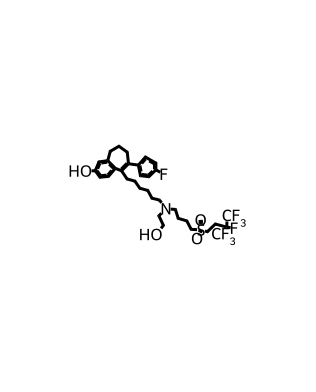 O=S(=O)(CCCCN(CCO)CCCCCCC1=C(c2ccc(F)cc2)CCCc2cc(O)ccc21)CCC(F)(C(F)(F)F)C(F)(F)F